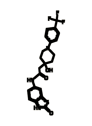 O=C(CC1(O)CCN(c2ccc(C(F)(F)F)cc2)CC1)Nc1ccc2[nH]c(=O)sc2c1